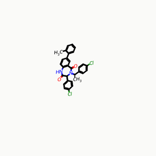 Cc1ccccc1-c1ccc2c(c1)C(=O)N([C@H](C)c1ccc(Cl)cc1)C(c1ccc(Cl)cc1)C(=O)N2